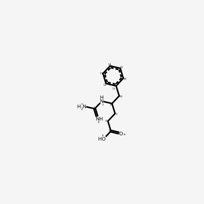 N=C(N)NC(CCC(=O)O)Cc1ccccc1